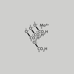 O=C([O-])O.O=C([O-])O.O=C([O-])O.O=C([O-])O.[Mo+4]